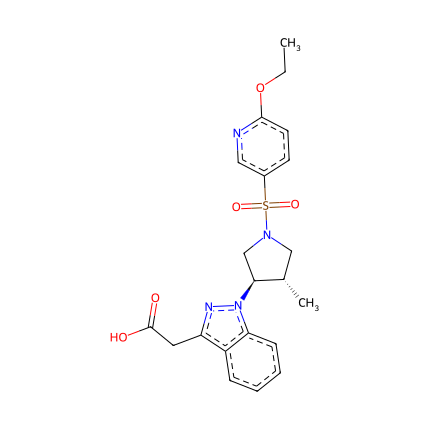 CCOc1ccc(S(=O)(=O)N2C[C@H](C)[C@@H](n3nc(CC(=O)O)c4ccccc43)C2)cn1